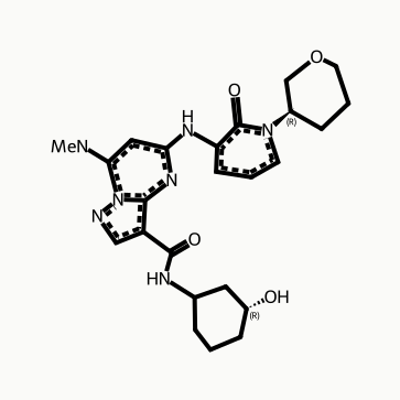 CNc1cc(Nc2cccn([C@@H]3CCCOC3)c2=O)nc2c(C(=O)NC3CCC[C@@H](O)C3)cnn12